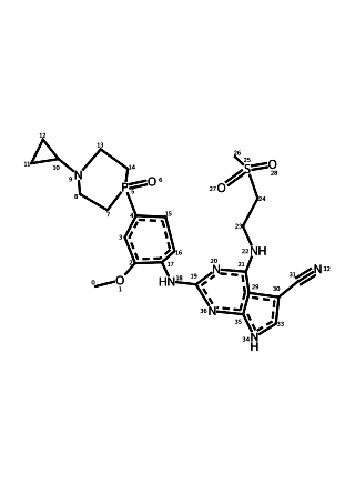 COc1cc(P2(=O)CCN(C3CC3)CC2)ccc1Nc1nc(NCCS(C)(=O)=O)c2c(C#N)c[nH]c2n1